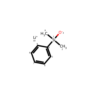 C[Si](C)([O-])c1ccccc1.[Li+]